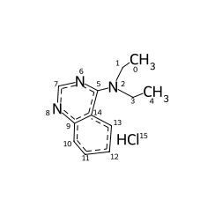 CCN(CC)c1ncnc2ccccc12.Cl